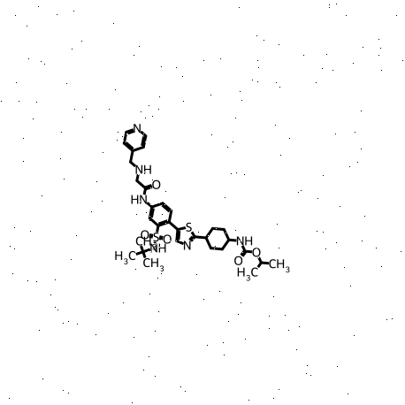 CC(C)OC(=O)NC1CCC(c2ncc(-c3ccc(NC(=O)CNCc4ccncc4)cc3S(=O)(=O)NC(C)(C)C)s2)CC1